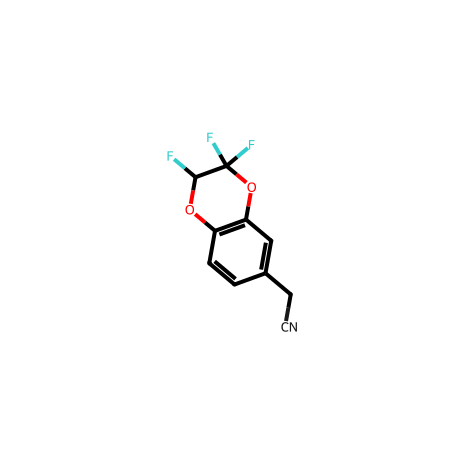 N#CCc1ccc2c(c1)OC(F)(F)C(F)O2